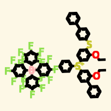 CCOc1cc([S+](c2ccccc2)c2ccc(-c3ccccc3)c(OCC)c2)ccc1Sc1ccc(-c2ccccc2)cc1.Fc1c(F)c(F)c([B-](c2c(F)c(F)c(F)c(F)c2F)(c2c(F)c(F)c(F)c(F)c2F)c2c(F)c(F)c(F)c(F)c2F)c(F)c1F